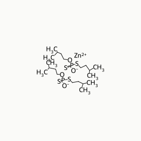 CC(C)CCOP([O-])(=S)SCCC(C)C.CC(C)CCOP([O-])(=S)SCCC(C)C.[Zn+2]